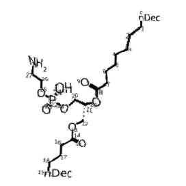 CCCCCCCCCCCCCCCCCC(=O)O[C@H](COC(=O)CCCCCCCCCCCCC)COP(=O)(O)OCCN